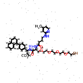 Cc1ccnc(NCCCC(=O)N[C@@H](COCCOCCOCCOCCS)C(=O)N[C@@H](CC(=O)O)c2ccc(-c3cccc4ccccc34)cc2)c1